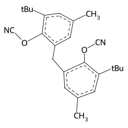 Cc1cc(Cc2cc(C)cc(C(C)(C)C)c2OC#N)c(OC#N)c(C(C)(C)C)c1